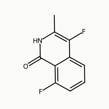 Cc1[nH]c(=O)c2c(F)cccc2c1F